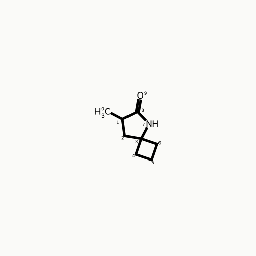 CC1CC2(CCC2)NC1=O